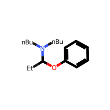 CCCCN(CCCC)C(CC)Oc1ccccc1